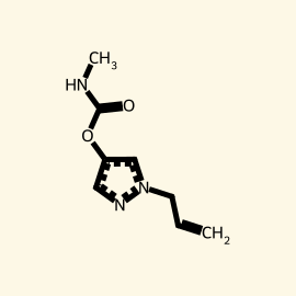 C=CCn1cc(OC(=O)NC)cn1